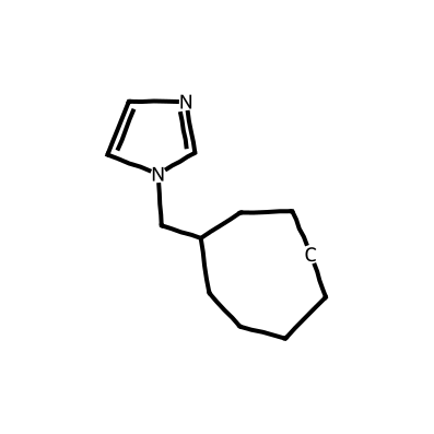 c1cn(CC2CCCCCCC2)cn1